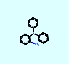 Nc1cccc[c]1[Al]([c]1ccccc1)[c]1ccccc1